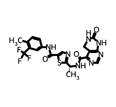 Cc1ccc(NC(=O)c2cnc([C@@H](C)NC(=O)c3ncnc4c3CNC(=O)N4)s2)cc1C(F)(F)F